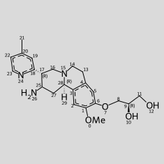 COc1cc2c(cc1OC[C@H](O)CO)CCN1C[C@@H](c3cc(C)ccn3)C(N)C[C@H]21